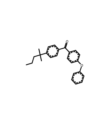 CCCC(C)(C)c1ccc(C(=O)c2ccc(Oc3ccccc3)cc2)cc1